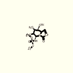 CCOP(=O)(N[C@H]1C(OC(C)=O)C(OC(C)=O)[C@@H](OC(C)=O)C2COC(=O)N21)OCC